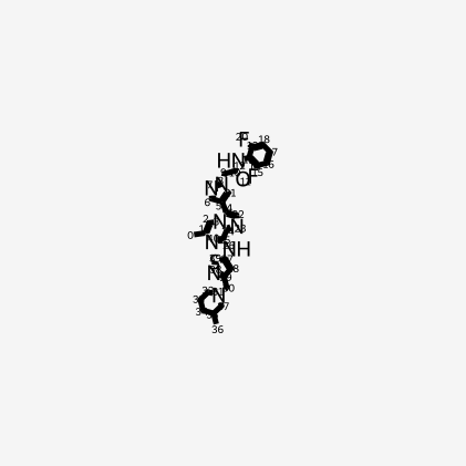 Cc1cn2c(-c3cnn(CC(=O)Nc4c(F)cccc4F)c3)cnc2c(Nc2cc(CN3CCCC(C)C3)ns2)n1